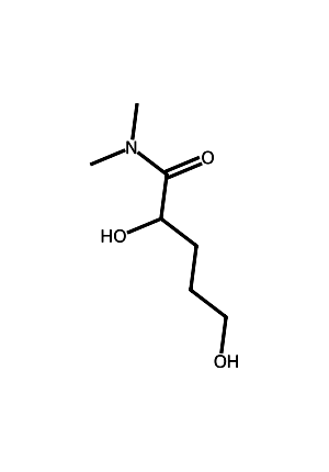 CN(C)C(=O)C(O)CCCO